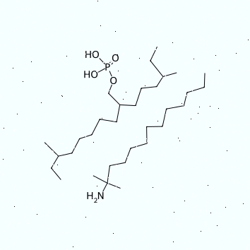 CCC(C)CCCCCC(CCCC(C)CC)COP(=O)(O)O.CCCCCCCCCCCC(C)(C)N